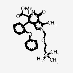 COC(=O)c1[nH]c(=O)c2c(C)n(COCC[Si](C)(C)C)cc2c1-c1ccccc1Oc1ccccc1